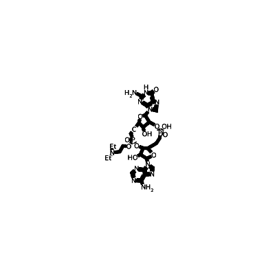 CCN(CC)CCOP1(=O)CCC2OC(n3cnc4c(=O)[nH]c(N)nc43)C(OP(=O)(O)CCC3OC(n4cnc5c(N)ncnc54)C(O)C3O1)C2O